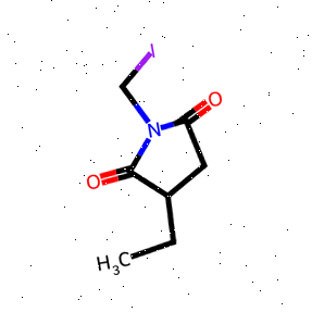 CCC1CC(=O)N(CI)C1=O